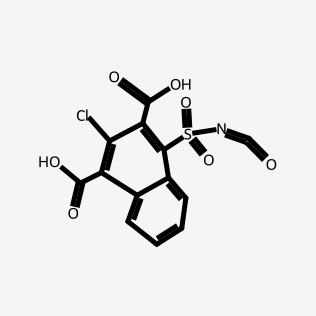 O=C=NS(=O)(=O)c1c(C(=O)O)c(Cl)c(C(=O)O)c2ccccc12